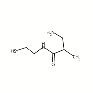 CC(CN)C(=O)NCCS